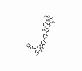 COC(=O)N[C@H](C(=O)N1CCC[C@H]1c1ncc(-c2ccc(-c3ccc(-c4cnc(C5C6CCC(C6)[C@@H]5C(=O)NCc5ccco5)[nH]4)cc3)cc2)[nH]1)C(C)C